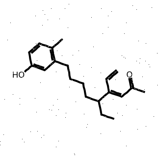 C=C/C(=C\C(C)=O)C(CC)CCCCc1cc(O)ccc1C